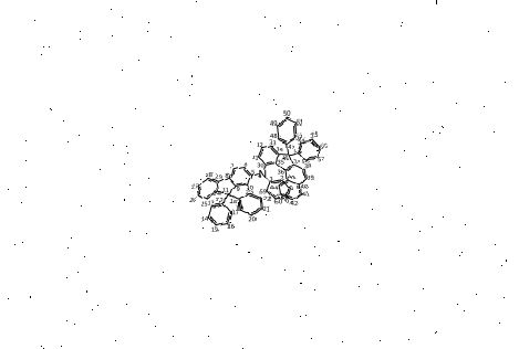 c1ccc(N(c2ccc3c(c2)C(c2ccccc2)(c2ccccc2)c2ccccc2-3)c2cccc3c2-c2c(ccc4ccccc24)C3(c2ccccc2)c2ccccc2)cc1